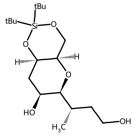 C[C@@H](CCO)[C@@H]1O[C@@H]2CO[Si](C(C)(C)C)(C(C)(C)C)O[C@@H]2C[C@@H]1O